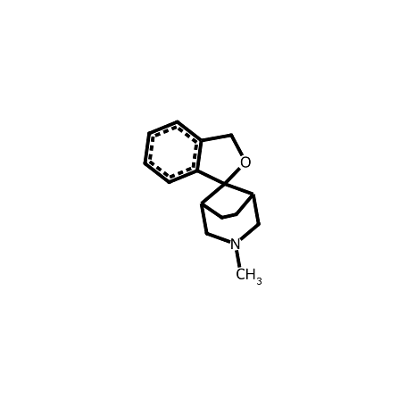 CN1CC2CCC(C1)C21OCc2ccccc21